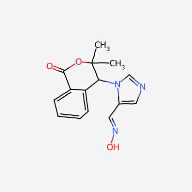 CC1(C)OC(=O)c2ccccc2C1n1cncc1/C=N/O